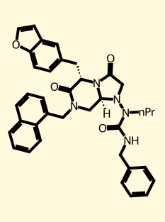 CCCN(C(=O)NCc1ccccc1)N1CC(=O)N2[C@@H](Cc3ccc4occc4c3)C(=O)N(Cc3cccc4ccccc34)C[C@@H]21